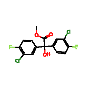 COC(=O)C(O)(c1ccc(F)c(Cl)c1)c1ccc(F)c(Cl)c1